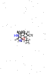 COc1cc(C#N)ccc1C1C(C(=O)O)=C(C)Nc2c(C)cnc(OCC3(C)CCC3)c21